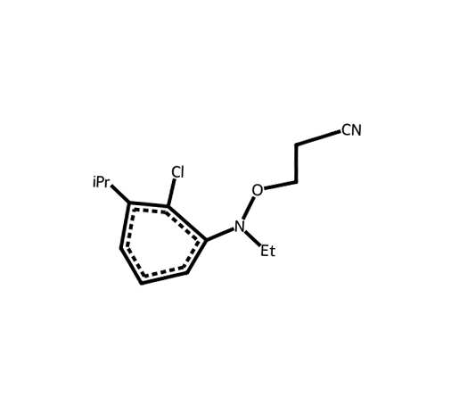 CCN(OCCC#N)c1cccc(C(C)C)c1Cl